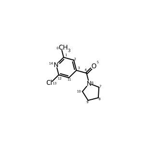 Cc1cc(C(=O)N2CCCC2)cc(Cl)n1